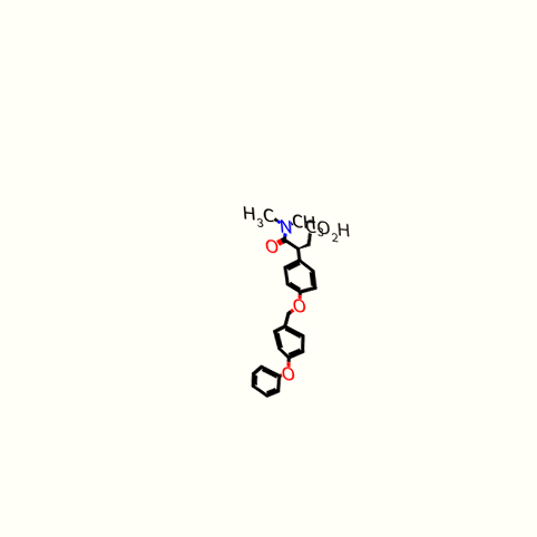 CN(C)C(=O)[C@@H](CC(=O)O)c1ccc(OCc2ccc(Oc3ccccc3)cc2)cc1